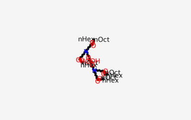 CCCCCCCCC(CCCCCC)COC(=O)CCCCCN(CCCCCC(=O)OCC(CCCCCC)CCCCCCCC)CCCOCC(O)C(O)COCCCN(CCCCCC(=O)OCC(CCCCCC)CCCCCCCC)CCCCCC(=O)OCC(CCCCCC)CCCCCCCC